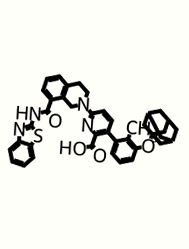 Cc1c(OC23CC4CC(CC(C4)C2)C3)cccc1-c1ccc(N2CCc3cccc(C(=O)Nc4nc5ccccc5s4)c3C2)nc1C(=O)O